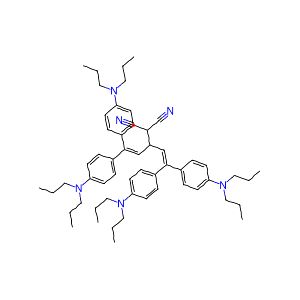 CCCN(CCC)c1ccc(C(=CC(C=C(c2ccc(N(CCC)CCC)cc2)c2ccc(N(CCC)CCC)cc2)C(C#N)C#N)c2ccc(N(CCC)CCC)cc2)cc1